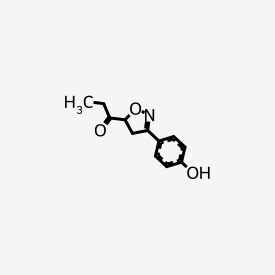 CCC(=O)C1CC(c2ccc(O)cc2)=NO1